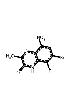 Cc1nc2c([N+](=O)[O-])cc(Br)c(F)c2[nH]c1=O